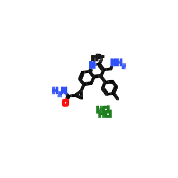 CCCc1nc2ccc(C3CC3C(N)=O)cc2c(-c2ccc(C)cc2)c1CN.Cl.Cl